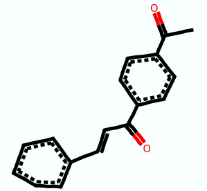 CC(=O)c1ccc(C(=O)C=Cc2ccccc2)cc1